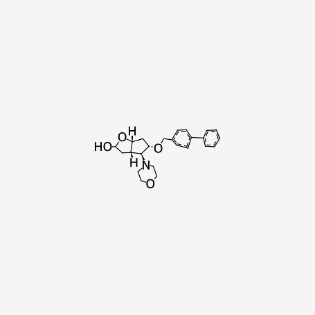 OC1C[C@H]2[C@H](N3CCOCC3)[C@@H](OCc3ccc(-c4ccccc4)cc3)C[C@H]2O1